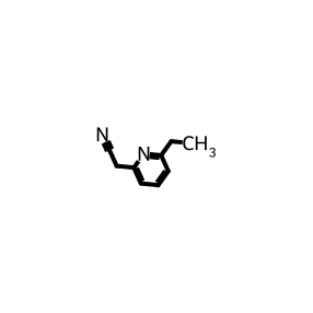 CCc1cccc(CC#N)n1